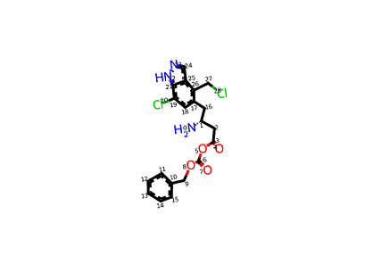 N[C@@H](CC(=O)OC(=O)OCc1ccccc1)Cc1cc(Cl)c2[nH]ncc2c1CCl